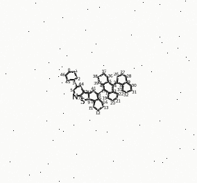 c1ccc(-c2cnc3sc4c5ccccc5c(-c5c6ccccc6c(-c6cccc7ccccc67)c6ccccc56)cc4c3c2)cc1